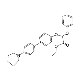 CCOC(=O)C(Oc1ccccc1)Oc1ccc(-c2ccc(N3CCCCC3)cc2)cc1